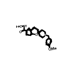 COc1ccc(CN2CCC3(CCc4cc(C(=O)NO)ccc4O3)CC2)cc1